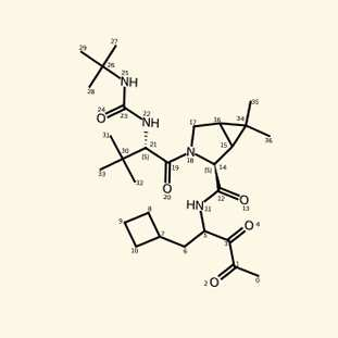 CC(=O)C(=O)C(CC1CCC1)NC(=O)[C@@H]1C2C(CN1C(=O)[C@@H](NC(=O)NC(C)(C)C)C(C)(C)C)C2(C)C